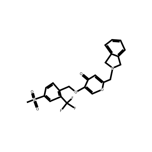 CS(=O)(=O)c1ccc(COc2coc(CN3Cc4ccccc4C3)cc2=O)c(C(F)(F)F)c1